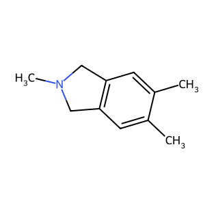 Cc1cc2c(cc1C)CN(C)C2